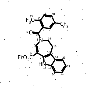 CCOC(=O)C1=CN(C(=O)c2cc(C(F)(F)F)ccc2C(F)(F)F)CCc2c1[nH]c1ccccc21